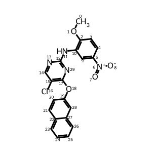 COc1ccc([N+](=O)[O-])cc1Nc1ncc(Cl)c(Oc2ccc3ccccc3c2)n1